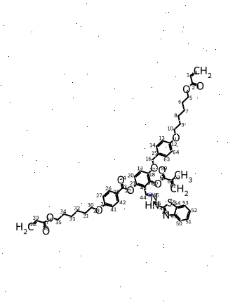 C=CC(=O)OCCCCCCOc1ccc(COc2ccc(OC(=O)c3ccc(OCCCCCCOC(=O)C=C)cc3)c(/C=N/Nc3nc4ccccc4s3)c2OC(=O)C(=C)C)cc1